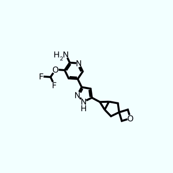 Nc1ncc(-c2cc(C3C4CC5(COC5)CC43)[nH]n2)cc1OC(F)F